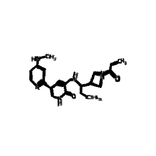 C=CC(=O)N1CC(C(CC)Nc2cc(-c3cc(NC)ccn3)c[nH]c2=O)C1